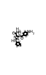 NC(=O)c1nc(Nc2ccncc2)sc1NC(=O)c1ccc(N)cc1